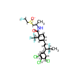 C[C@H](C[S+]([O-])CCF)NC(=O)c1ccc(/C=C/C(c2cc(Cl)c(Cl)c(Cl)c2)C(C)(F)F)cc1C(F)(F)F